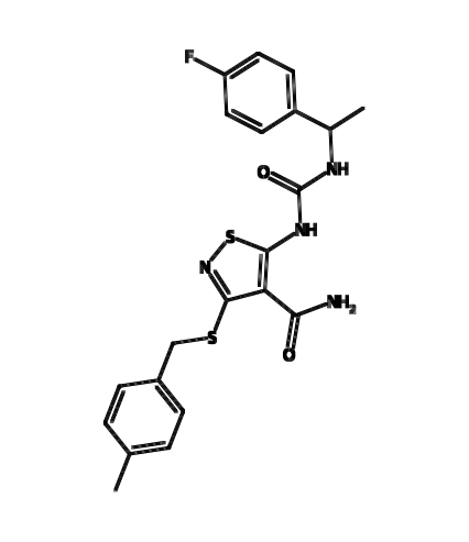 Cc1ccc(CSc2nsc(NC(=O)NC(C)c3ccc(F)cc3)c2C(N)=O)cc1